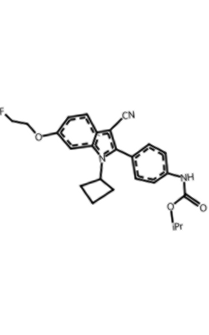 CC(C)OC(=O)Nc1ccc(-c2c(C#N)c3ccc(OCCF)cc3n2C2CCC2)cc1